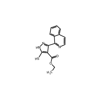 CCOC(=O)c1c(-c2nccc3ccccc23)n[nH]c1S